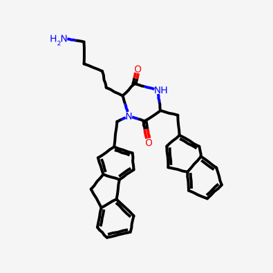 NCCCCC1C(=O)NC(Cc2ccc3ccccc3c2)C(=O)N1Cc1ccc2c(c1)Cc1ccccc1-2